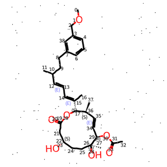 COCc1cccc(CCC(C)/C=C/C=C(\C)[C@H]2OC(=O)C[C@@H](O)CC[C@](C)(O)[C@H](OC(C)=O)/C=C/[C@@H]2C)c1